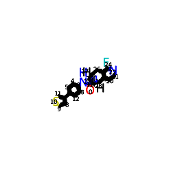 O=C(Nc1ccc(-c2ccsc2)cc1)N1[C@H]2CC[C@@H]1c1ccnc(F)c1C2